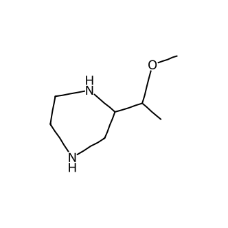 COC(C)C1CNCCN1